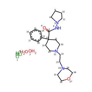 Cl.Cl.O.O.O=C(NN1CCCC1)C1(c2ccccc2)CCN(CCN2CCOCC2)CC1